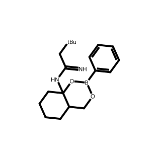 CC(C)(C)CC(=N)NC12CCCCC1COB(c1ccccc1)O2